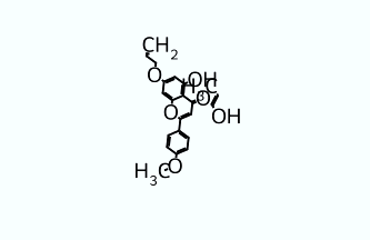 C=CCOc1cc(O)c2c(=O)cc(-c3ccc(OC)cc3)oc2c1.CC=CO